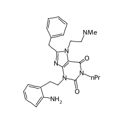 CCCn1c(=O)c2c(nc(Cc3ccccc3)n2CCNC)n(CCc2ccccc2N)c1=O